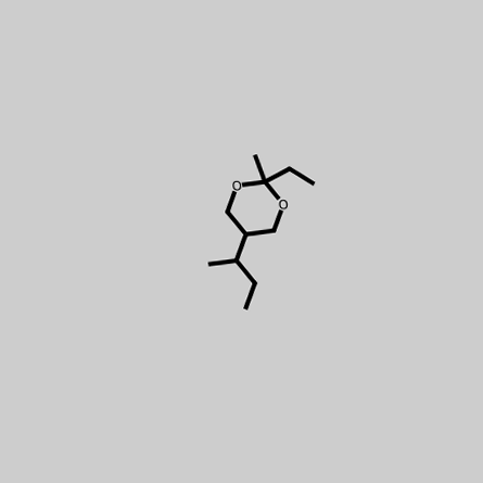 CCC(C)C1COC(C)(CC)OC1